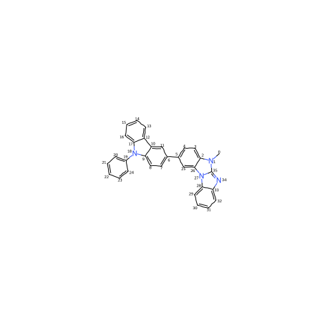 Cn1c2ccc(-c3ccc4c(c3)c3ccccc3n4-c3ccccc3)cc2n2c3ccccc3nc12